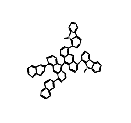 Cp1c2ccccc2c2cccc(-c3cccc4c(-c5c6cccc(-c7ccc8ccccc8c7)c6cc6c(-c7ccc8ccccc8c7)cccc56)c5cccc(-c6cccc7c8ccccc8p(C)c67)c5cc34)c21